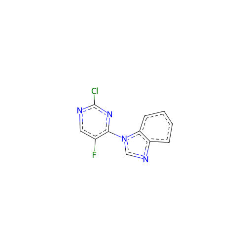 Fc1cnc(Cl)nc1-n1cnc2ccccc21